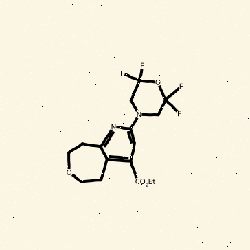 CCOC(=O)c1cc(N2CC(F)(F)OC(F)(F)C2)nc2c1CCOCC2